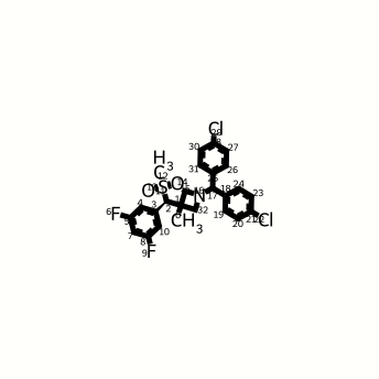 CC1([C@@H](c2cc(F)cc(F)c2)S(C)(=O)=O)CN(C(c2ccc(Cl)cc2)c2ccc(Cl)cc2)C1